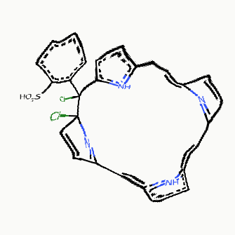 O=S(=O)(O)c1ccccc1C1(Cl)c2ccc([nH]2)C=C2C=CC(=N2)C=c2ccc([nH]2)=CC2=NC1(Cl)C=C2